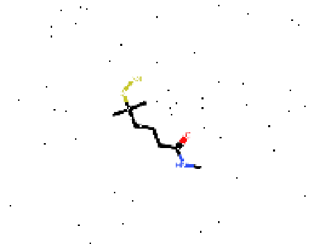 CNC(=O)CCCC(C)(C)SS